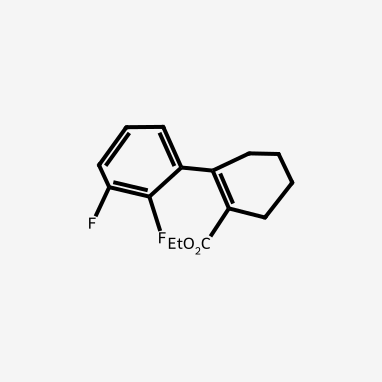 CCOC(=O)C1=C(c2cccc(F)c2F)CCCC1